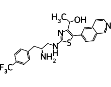 CC(O)c1nc(NC[C@@H](N)Cc2ccc(C(F)(F)F)cc2)sc1-c1ccc2cnccc2c1